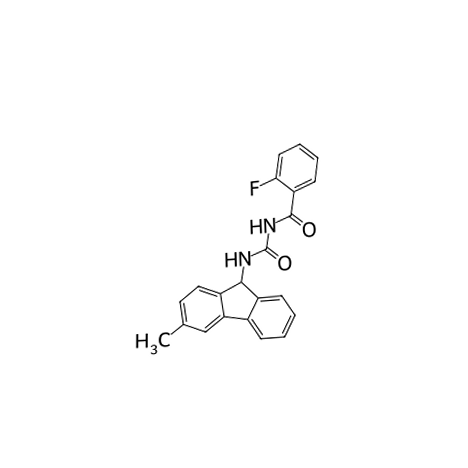 Cc1ccc2c(c1)-c1ccccc1C2NC(=O)NC(=O)c1ccccc1F